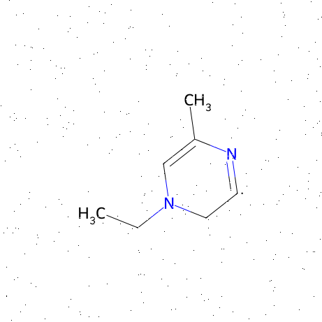 CCN1C=C(C)N=[C]C1